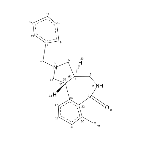 O=C1NC[C@@H]2CN(Cc3ccccc3)C[C@H]2c2cccc(F)c21